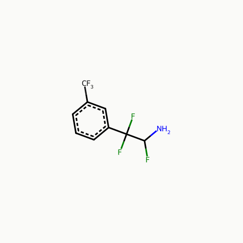 NC(F)C(F)(F)c1cccc(C(F)(F)F)c1